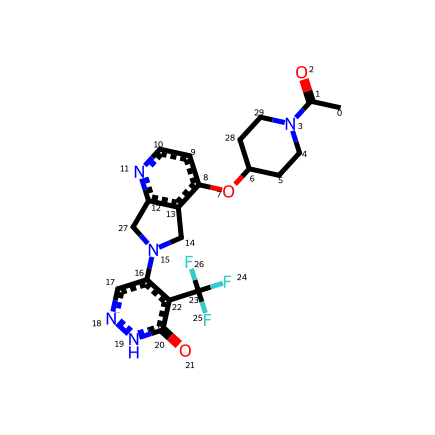 CC(=O)N1CCC(Oc2ccnc3c2CN(c2cn[nH]c(=O)c2C(F)(F)F)C3)CC1